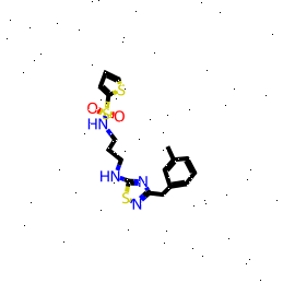 Cc1cccc(Cc2nsc(NCCCNS(=O)(=O)c3cccs3)n2)c1